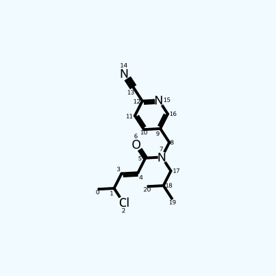 CC(Cl)/C=C/C(=O)N(Cc1ccc(C#N)nc1)CC(C)C